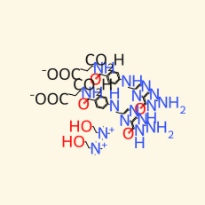 C[N+](C)(C)CCO.C[N+](C)(C)CCO.Nc1nc2ncc(CNc3ccc(C(=O)N[C@@H](CCC(=O)[O-])C(=O)O)cc3)nc2c(=O)[nH]1.Nc1nc2ncc(CNc3ccc(C(=O)N[C@@H](CCC(=O)[O-])C(=O)O)cc3)nc2c(=O)[nH]1